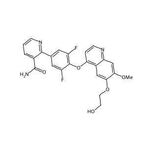 COc1cc2nccc(Oc3c(F)cc(-c4ncccc4C(N)=O)cc3F)c2cc1OCCO